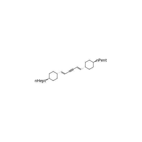 CCCCCCC[C@H]1CC[C@H](C=CC#CC=C[C@H]2CC[C@H](CCCCC)CC2)CC1